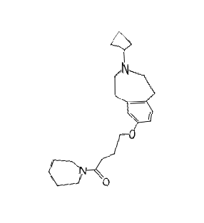 O=C(CCCOc1ccc2c(c1)CCN(C1CCC1)CC2)N1CCCCC1